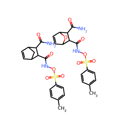 Cc1ccc(S(=O)(=O)ONC(=O)C2C3C=CC(C3)C2C(N)=O)cc1.Cc1ccc(S(=O)(=O)ONC(=O)C2C3C=CC(O3)C2C(N)=O)cc1